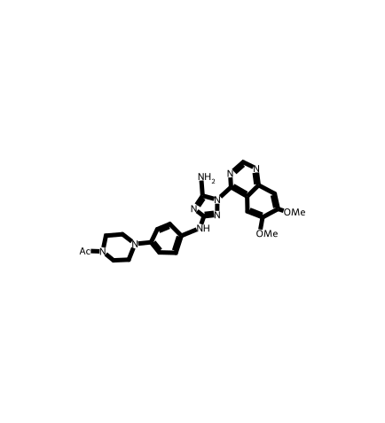 COc1cc2ncnc(-n3nc(Nc4ccc(N5CCN(C(C)=O)CC5)cc4)nc3N)c2cc1OC